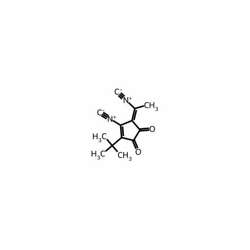 [C-]#[N+]C1=C(C(C)(C)C)C(=O)C(=O)/C1=C(\C)[N+]#[C-]